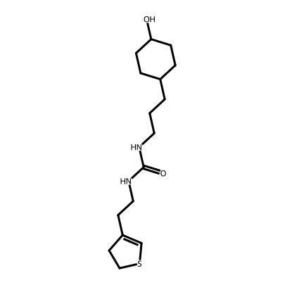 O=C(NCCCC1CCC(O)CC1)NCCC1=CSCC1